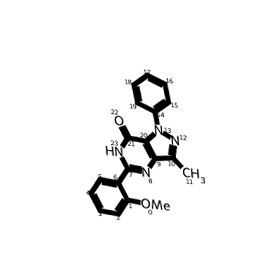 COc1ccccc1-c1nc2c(C)nn(-c3ccccc3)c2c(=O)[nH]1